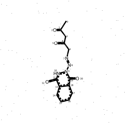 CC(=O)CC(=O)CN=Nn1[nH]c(=O)c2ccccc2c1=O